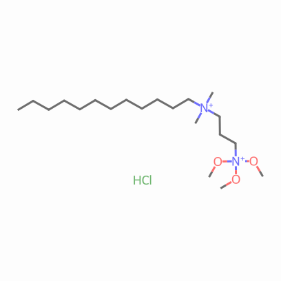 CCCCCCCCCCCC[N+](C)(C)CCC[N+](OC)(OC)OC.Cl